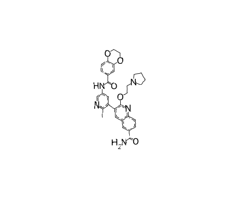 Cc1ncc(NC(=O)c2ccc3c(c2)OCCO3)cc1-c1cc2cc(C(N)=O)ccc2nc1OCCN1CCCC1